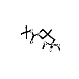 COP(=O)(CC1(C)CN(C(=O)OC(C)(C)C)C1)OC